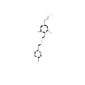 CCCc1cc(F)c(/C=N/N=C/c2ccc(F)cc2)c(F)c1